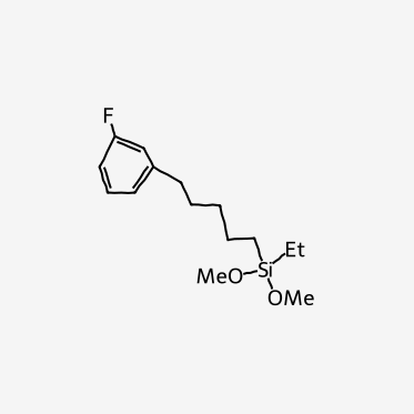 CC[Si](CCCCCc1cccc(F)c1)(OC)OC